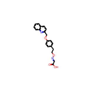 O=C(O)C=NOCCc1ccc(OCc2ccc3ccccc3n2)cc1